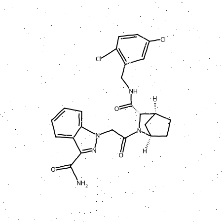 NC(=O)c1nn(CC(=O)N2[C@@H]3CC[C@@H](C3)[C@H]2C(=O)NCc2cc(Cl)ccc2Cl)c2ccccc12